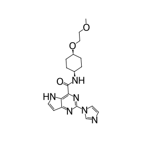 COCCO[C@H]1CC[C@@H](NC(=O)c2nc(-n3ccnc3)nc3cc[nH]c23)CC1